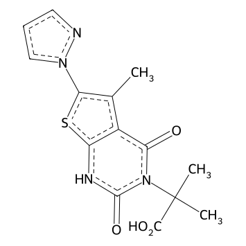 Cc1c(-n2cccn2)sc2[nH]c(=O)n(C(C)(C)C(=O)O)c(=O)c12